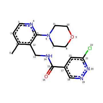 Cc1ccnc(N2CCOCC2)c1CNC(=O)c1cnnc(Cl)c1